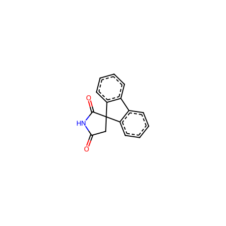 O=C1CC2(C(=O)N1)c1ccccc1-c1ccccc12